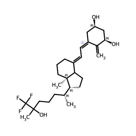 C=C1/C(=C\C=C2CCC[C@@]3(C)C2CC[C@@H]3[C@H](C)CCCC(C)(O)C(F)(F)F)C[C@@H](O)C[C@H]1O